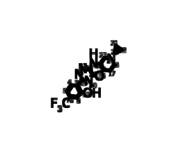 Cn1c(-c2ccc(C(F)(F)F)cc2O)nnc(N[C@@H]2CCCN(C3CC3)C2)c1=O